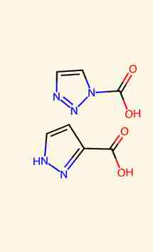 O=C(O)c1cc[nH]n1.O=C(O)n1ccnn1